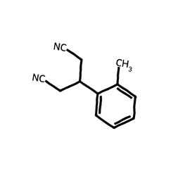 Cc1ccccc1C(CC#N)CC#N